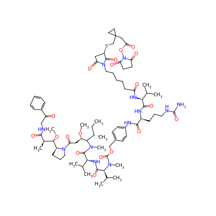 CC[C@H](C)C([C@@H](CC(=O)N1CCC[C@H]1[C@H](OC)[C@@H](C)C(=O)NCC(=O)c1ccccc1)OC)N(C)C(=O)[C@@H](NC(=O)[C@H](C(C)C)N(C)C(=O)OCc1ccc(NC(=O)[C@H](CCCNC(N)=O)NC(=O)[C@@H](NC(=O)CCCCCN2C(=O)CC(SCC3(CC(=O)ON4C(=O)CCC4=O)CC3)C2=O)C(C)C)cc1)C(C)C